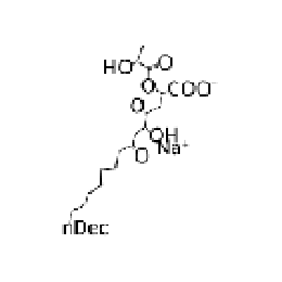 CCCCCCCCCCCCCCCCCC(=O)CC(O)C(=O)CC(OC(=O)C(C)O)C(=O)[O-].[Na+]